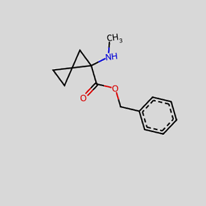 CNC1(C(=O)OCc2ccccc2)CC12CC2